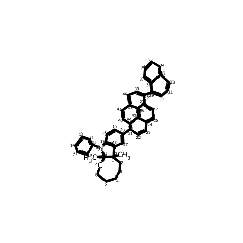 CC12CCCCCCC1(C)N(c1ccccc1)c1ccc(-c3ccc4ccc5c(-c6cccc7ccccc67)ccc6ccc3c4c65)cc12